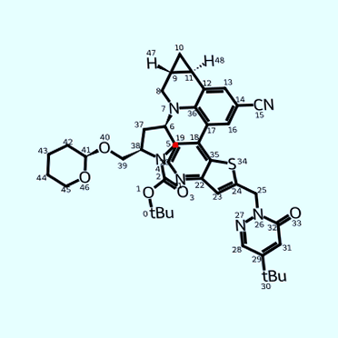 CC(C)(C)OC(=O)N1C[C@H](N2C[C@@H]3C[C@H]3c3cc(C#N)cc(-c4ccnc5cc(Cn6ncc(C(C)(C)C)cc6=O)sc45)c32)C[C@@H]1CO[C@@H]1CCCCO1